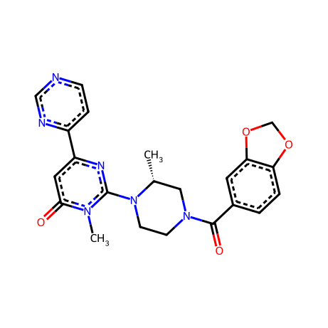 C[C@@H]1CN(C(=O)c2ccc3c(c2)OCO3)CCN1c1nc(-c2ccncn2)cc(=O)n1C